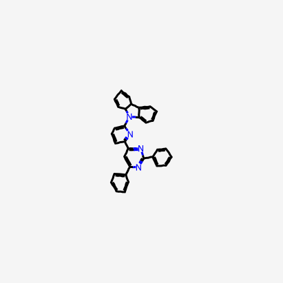 C1=CC2c3ccccc3N(c3cccc(-c4cc(-c5ccccc5)nc(-c5ccccc5)n4)n3)C2C=C1